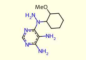 COC1CCCCC1N(N)c1ncnc(N)c1N